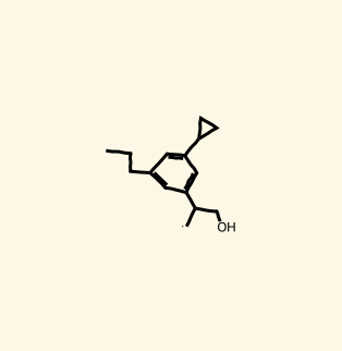 [CH2]C(CO)c1cc(CCC)cc(C2CC2)c1